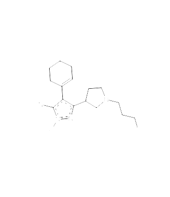 Cn1nc(C2CCN(CCCF)C2)c(C2=CCCCC2)c1N